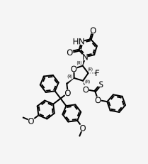 COc1ccc(C(OC[C@H]2O[C@@H](n3ccc(=O)[nH]c3=O)[C@H](F)[C@@H]2OC(=S)Oc2ccccc2)(c2ccccc2)c2ccc(OC)cc2)cc1